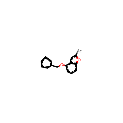 CC(=O)c1cc2c(OCc3ccccc3)cccc2o1